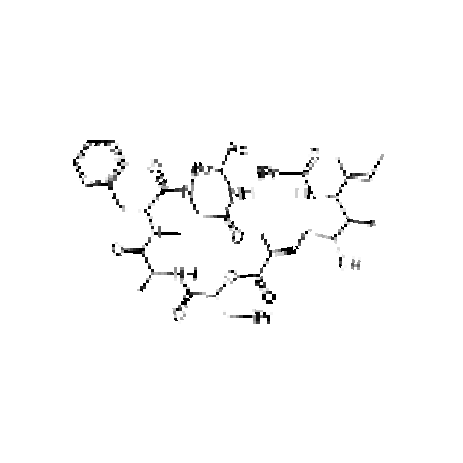 C/C=C(\C)[C@@H](NC(=O)C(C)C)[C@@H](C)[C@H](O)C/C=C(\C)C(=O)O[C@H](CC(C)C)C(=O)N[C@@H](C)C(=O)N(C)[C@H](Cc1ccccc1)C(=O)N(C)CC(=O)N[C@H](C(C)=O)C(C)CC